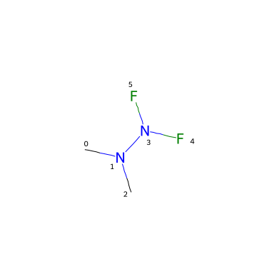 CN(C)N(F)F